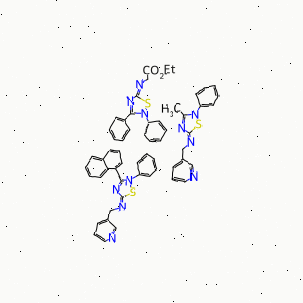 CCOC(=O)CN=c1nc(-c2ccccc2)n(-c2ccccc2)s1.Cc1nc(=NCc2cccnc2)sn1-c1ccccc1.c1ccc(-n2sc(=NCc3cccnc3)nc2-c2cccc3ccccc23)cc1